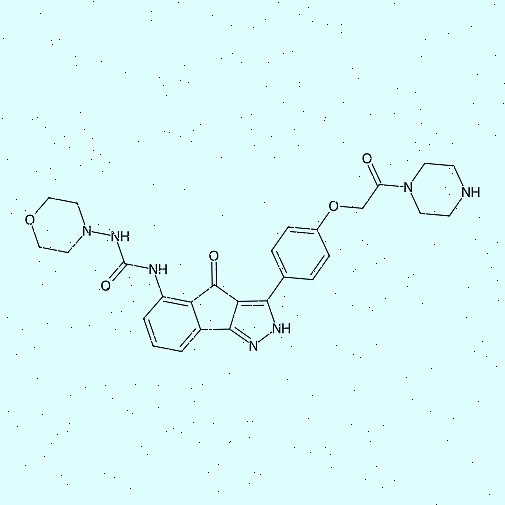 O=C(Nc1cccc2c1C(=O)c1c-2n[nH]c1-c1ccc(OCC(=O)N2CCNCC2)cc1)NN1CCOCC1